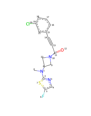 CN(c1ncc(F)s1)C1CN(C(=O)C#Cc2cccc(Cl)c2)C1